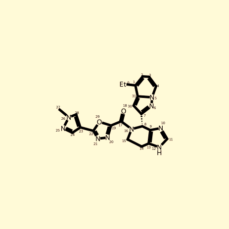 CCc1cccn2nc([C@@H]3c4nc[nH]c4CCN3C(=O)c3nnc(-c4cnn(C)c4)o3)cc12